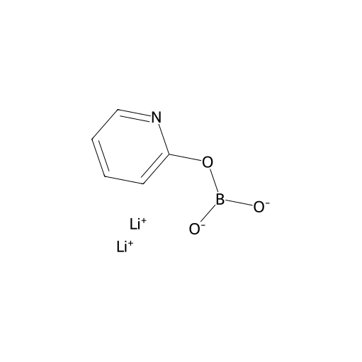 [Li+].[Li+].[O-]B([O-])Oc1ccccn1